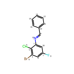 Fc1cc(Br)c(Cl)c(N=Cc2ccccc2)c1